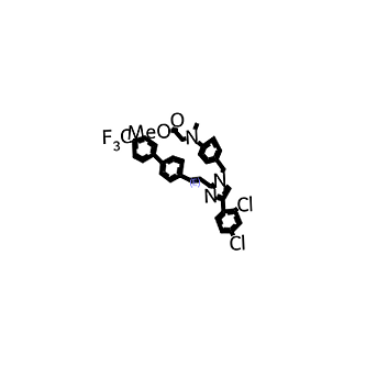 COC(=O)CN(C)c1ccc(Cn2cc(-c3ccc(Cl)cc3Cl)nc2/C=C/c2ccc(-c3ccc(C(F)(F)F)cc3)cc2)cc1